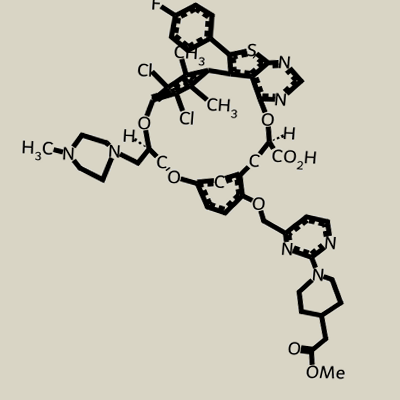 COC(=O)CC1CCN(c2nccc(COc3ccc4cc3C[C@H](C(=O)O)Oc3ncnc5sc(-c6ccc(F)cc6)c(c35)-c3c(C)c(Cl)c(c(Cl)c3C)O[C@H](CN3CCN(C)CC3)CO4)n2)CC1